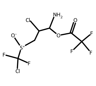 NC(OC(=O)C(F)(F)F)C(Cl)C[S+]([O-])C(F)(F)Cl